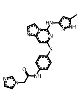 Cc1cc(Nc2nc(Sc3ccc(NC(=O)Cn4ccnc4)cc3)cc3nccn23)n[nH]1